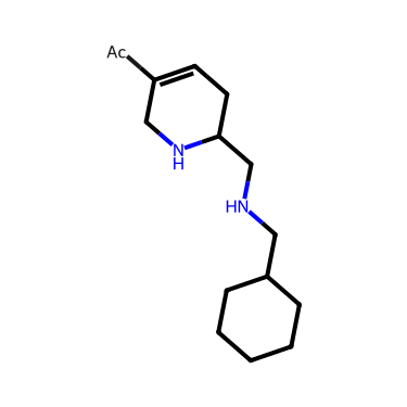 CC(=O)C1=CCC(CNCC2CCCCC2)NC1